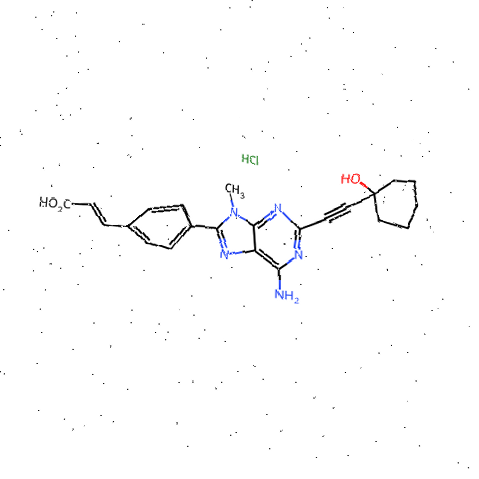 Cl.Cn1c(-c2ccc(C=CC(=O)O)cc2)nc2c(N)nc(C#CC3(O)CCCCC3)nc21